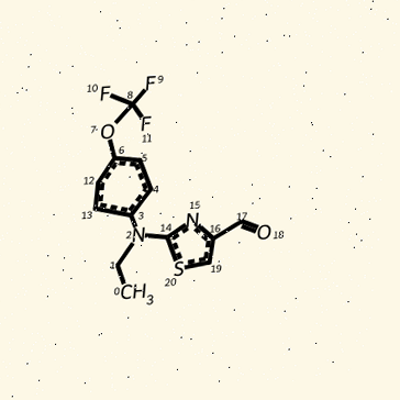 CCN(c1ccc(OC(F)(F)F)cc1)c1nc(C=O)cs1